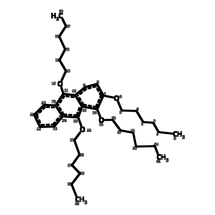 CCCCCCOc1ccc2c(OCCCCCC)c3ccccc3c(OCCCCCC)c2c1OCCCCCC